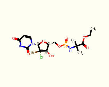 CCOC(=O)C(C)(C)N[PH](=O)OC[C@H]1O[C@@H](n2ccc(=O)[nH]c2=O)[C@](Cl)(Br)[C@@H]1O